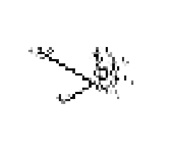 CCCCCCC(CCCCCCCCCCC(=O)OC)O[C@@H]1O[C@H](COC(C)=O)[C@@H](OC(C)=O)[C@H](OC(C)=O)[C@H]1OC(C)=O